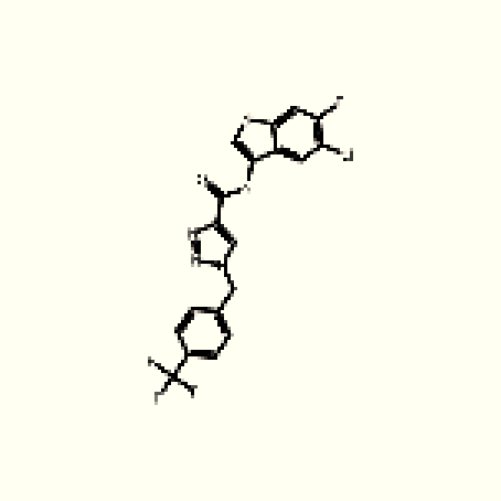 O=C(Nc1c[nH]c2cc(F)c(Cl)cc12)c1cn(Cc2ccc(C(F)(F)F)cc2)nn1